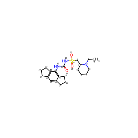 CCN1CCCCC1CS(=O)(=O)NC(=O)Nc1c2c(cc3c1CCC3)CCC2